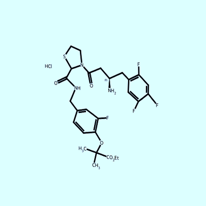 CCOC(=O)C(C)(C)Oc1ccc(CNC(=O)C2SCCN2C(=O)C[C@H](N)Cc2cc(F)c(F)cc2F)cc1F.Cl